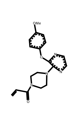 C=CC(=O)N1CCN(c2nccnc2Oc2ccc(OC)cc2)CC1